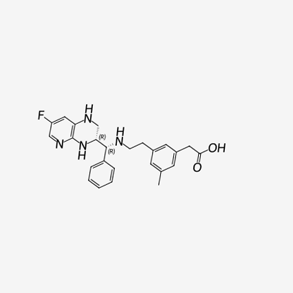 Cc1cc(CCN[C@H](c2ccccc2)[C@H]2CNc3cc(F)cnc3N2)cc(CC(=O)O)c1